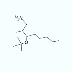 CCCCCC(OC(C)(C)C)C(C)CN